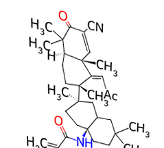 C=CC(=O)N[C@]12CCC(C)(C)CC1C[C@](C)([C@]1(C)CC[C@H]3C(C)(C)C(=O)C(C#N)=C[C@]3(C)/C1=C/C(C)=O)CC2